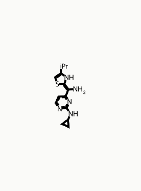 CC(C)C1=CS/C(=C(/N)c2ccnc(NC3CC3)n2)N1